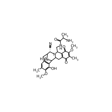 COC1=C(C)C(=O)C2=C(C1=O)C(CNC(=O)C(C)N)N1C(C2)C2c3c(cc(C)c(OC)c3O)CC([C@@H]1C#N)N2C